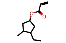 C=CC(=O)OC1CC(C)C(CC)C1